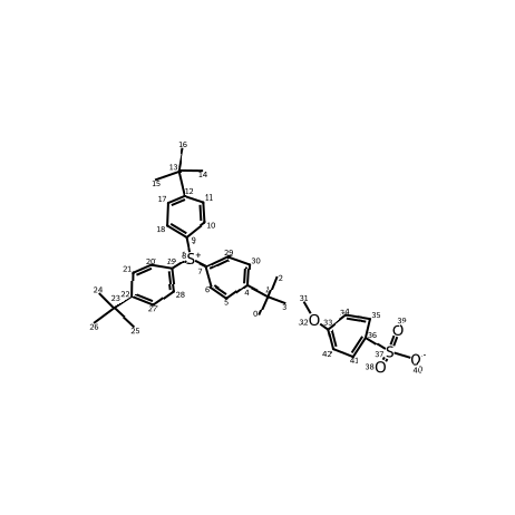 CC(C)(C)c1ccc([S+](c2ccc(C(C)(C)C)cc2)c2ccc(C(C)(C)C)cc2)cc1.COc1ccc(S(=O)(=O)[O-])cc1